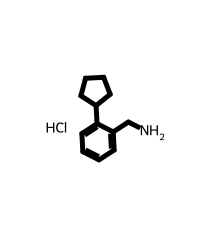 Cl.NCc1ccccc1C1CCCC1